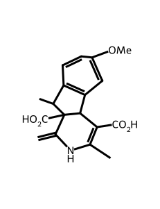 C=C1NC(C)=C(C(=O)O)C2c3cc(OC)ccc3C(C)C12C(=O)O